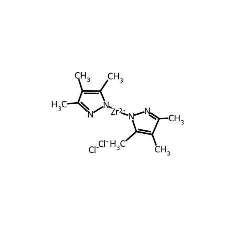 Cc1n[n]([Zr+2][n]2nc(C)c(C)c2C)c(C)c1C.[Cl-].[Cl-]